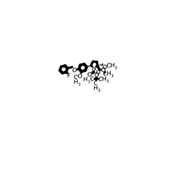 COC[C@@]1(C(=O)OC)CC[C@H](c2ccc(OCc3ccccc3F)c(OC)c2)N1C(=O)OC(C)(C)C